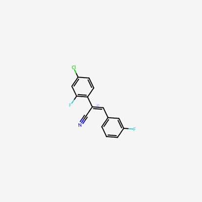 N#C/C(=C\c1cccc(F)c1)c1ccc(Cl)cc1F